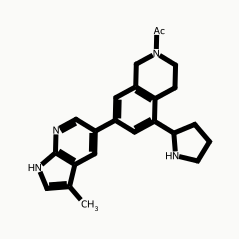 CC(=O)N1CCc2c(cc(-c3cnc4[nH]cc(C)c4c3)cc2C2CCCN2)C1